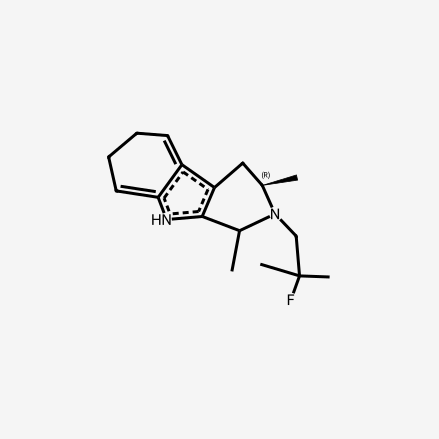 CC1c2[nH]c3c(c2C[C@@H](C)N1CC(C)(C)F)=CCCC=3